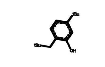 CC(C)(C)Cc1ccc(C(C)(C)C)cc1O